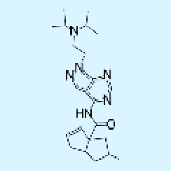 CC1CC2CC=CC2(C(=O)Nc2ncnc3c2cnn3CCN(C(C)C)C(C)C)C1